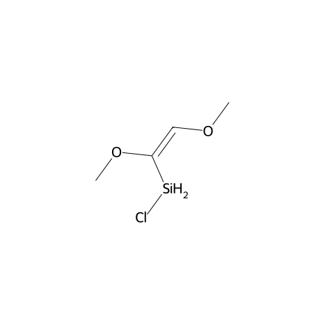 COC=C(OC)[SiH2]Cl